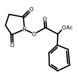 CC(=O)OC(C(=O)ON1C(=O)CCC1=O)c1ccccc1